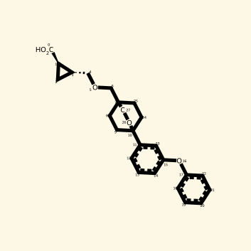 O=C(O)[C@@H]1C[C@H]1COCC12CCC(c3cccc(Oc4ccccc4)c3)(CC1)OC2